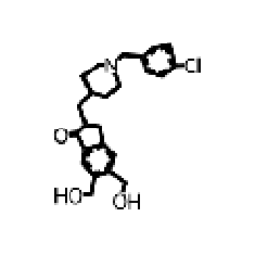 O=C1c2cc(CO)c(CO)cc2CC1CC1CCN(Cc2ccc(Cl)cc2)CC1